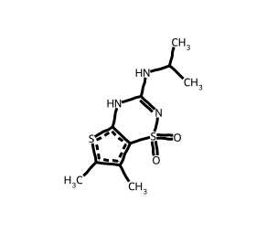 Cc1sc2c(c1C)S(=O)(=O)N=C(NC(C)C)N2